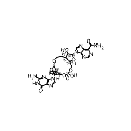 NC(=O)c1ncnc2c1ncn2[C@@H]1O[C@@H]2COP(=O)(O)O[C@@H]3[C@H](O)C(OCC[C@H]2[C@H]1O)O[C@H]3n1cnc2c(=O)[nH]c(N)nc21